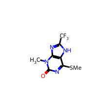 CSc1nc(=O)n(C)c2nc(C(F)(F)F)[nH]c12